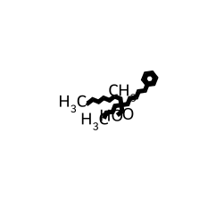 CCCCCCC(C)CC(CCCC)(CCCCCc1ccccc1)C(=O)O